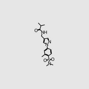 Cc1cc(-n2cc(CNC(=O)C(C)C)cn2)ccc1S(=O)(=O)N(C)C